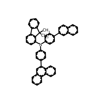 CC1(C)c2ccccc2-c2cccc(N(c3ccc(-c4ccc5ccccc5c4)cc3)c3ccc(-c4cc5ccccc5c5ccccc45)cc3)c21